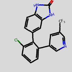 O=c1[nH]c2ccc(-c3c(Cl)cccc3-c3cncc(C(F)(F)F)c3)cc2[nH]1